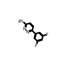 CC(C)c1ccc(-c2cc(F)cc(F)c2)nn1